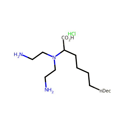 CCCCCCCCCCCCCCC(C(=O)O)N(CCN)CCN.Cl